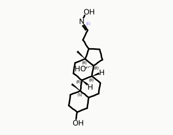 C[C@]12CCC(O)CC1CC[C@@H]1[C@H]2CC[C@]2(C)C(C/C=N/O)CC[C@@]12O